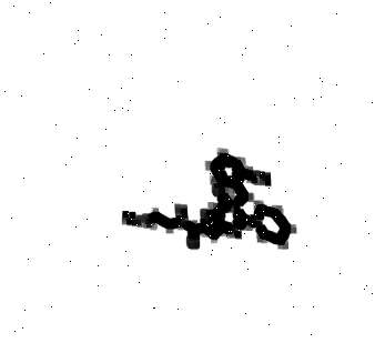 CSCCNC(=O)c1cc2nc(N3CCCCC3)n(Cc3ccccc3C#N)c(=O)c2s1